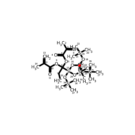 C=C(C)C(=O)OC(CC)(OC(=O)C(=C)C)[Si](O[SiH](O[Si](C)(C)C)O[Si](C)(C)C)(O[Si](C)(C)C)O[Si](C)(C)C